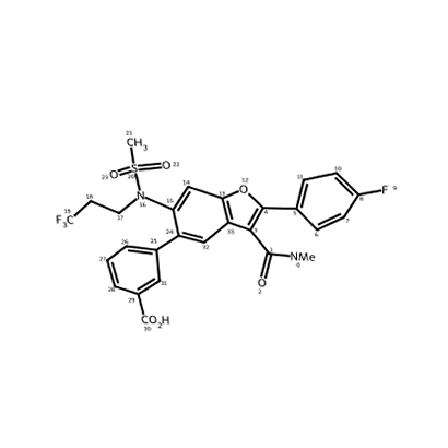 CNC(=O)c1c(-c2ccc(F)cc2)oc2cc(N(CCC(F)(F)F)S(C)(=O)=O)c(-c3cccc(C(=O)O)c3)cc12